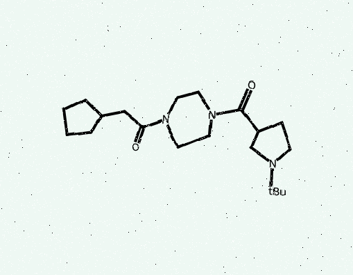 CC(C)(C)N1CCC(C(=O)N2CCN(C(=O)CC3CCCC3)CC2)C1